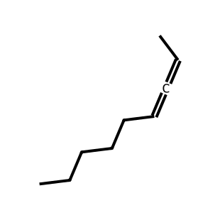 CC=C=CCCCCC